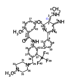 CN/C=C1\C(=N)N=C(c2ccsc2)N=C1Oc1ccc(C)c(C(=O)Nc2ccc(CN3CCN(C)CC3)c(C(F)(F)F)c2)c1